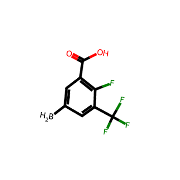 Bc1cc(C(=O)O)c(F)c(C(F)(F)F)c1